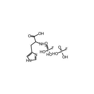 NC(Cc1c[nH]cn1)C(=O)O.O=P(O)(O)F.O=P(O)(O)F